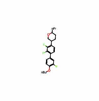 CCCCOc1ccc(-c2ccc(C3CCC(CCC)OC3)c(F)c2F)cc1F